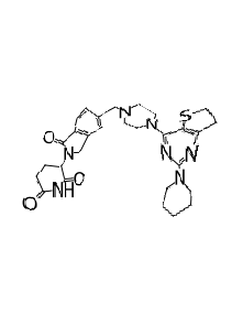 O=C1CCC(N2Cc3cc(CN4CCN(c5nc(N6CCCCC6)nc6c5SCC6)CC4)ccc3C2=O)C(=O)N1